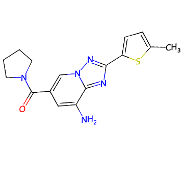 Cc1ccc(-c2nc3c(N)cc(C(=O)N4CCCC4)cn3n2)s1